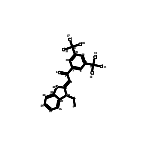 CCN1/C(=C/C(=O)c2cc(C(Cl)(Cl)Cl)cc(C(Cl)(Cl)Cl)c2)Sc2ccccc21